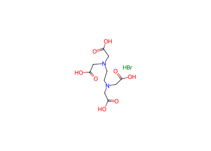 Br.O=C(O)CN(CCN(CC(=O)O)CC(=O)O)CC(=O)O